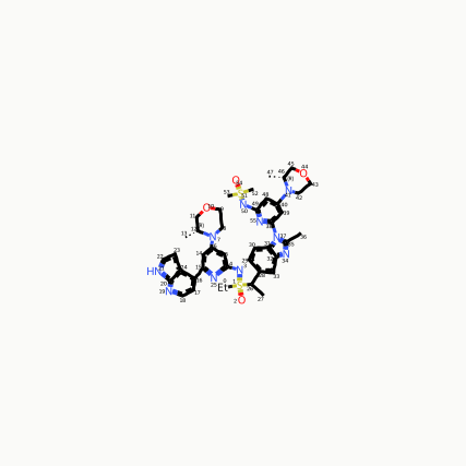 CCS(=O)(=Nc1cc(N2CCOC[C@H]2C)cc(-c2ccnc3[nH]ccc23)n1)C(C)c1ccc2c(c1)nc(C)n2-c1cc(N2CCOC[C@H]2C)cc(N=S(C)(C)=O)n1